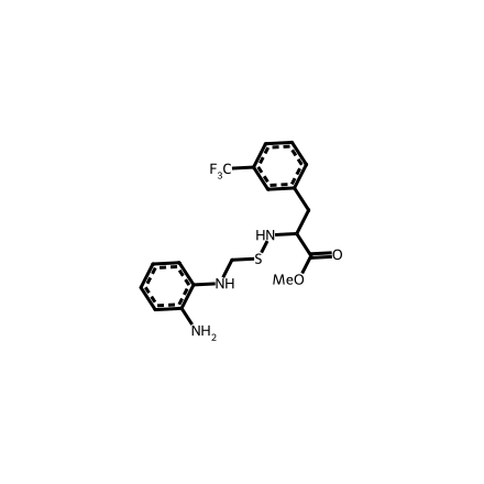 COC(=O)C(Cc1cccc(C(F)(F)F)c1)NSCNc1ccccc1N